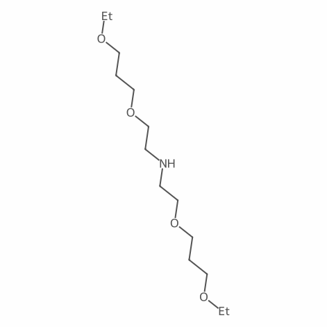 CCOCCCOCCNCCOCCCOCC